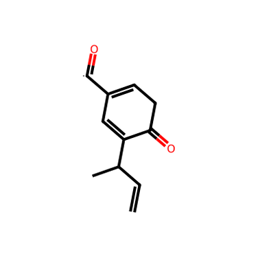 C=CC(C)C1=CC([C]=O)=CCC1=O